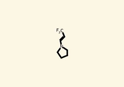 FC(F)(F)/C=C/N1CCCC1